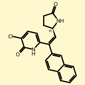 O=C1CC[C@H](C=C(c2ccc3ccccc3c2)c2ccc(Cl)c(=O)[nH]2)N1